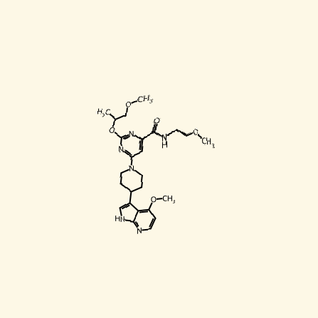 COCCNC(=O)c1cc(N2CCC(c3c[nH]c4nccc(OC)c34)CC2)nc(OC(C)COC)n1